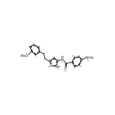 COc1cccc(CCc2cc(NC(=O)c3ccc(NC(C)=O)cc3)[nH]n2)c1